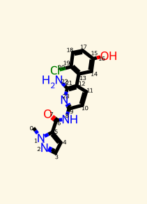 Cn1nccc1C(=O)Nc1ccc(-c2cc(O)ccc2Cl)c(N)n1